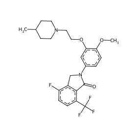 COc1ccc(N2Cc3c(F)ccc(C(F)(F)F)c3C2=O)cc1OCCN1CCC(C)CC1